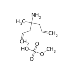 C=CCC(C)(N)CC=C.COS(=O)(=O)O